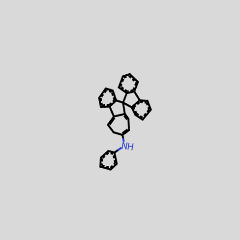 C1=C(Nc2ccccc2)CC=C2C(=C1)C1(c3ccccc32)c2ccccc2-c2ccccc21